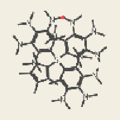 CC1=C(C)C(C)C([Si](c2c(C)c(N(C)C)c(N(C)C)c(N(C)C)c2N(C)C)(c2c(C)c(N(C)C)c(N(C)C)c(N(C)C)c2N(C)C)c2c(C)c(N(C)C)c(N(C)C)c(N(C)C)c2N(C)C)=C1C